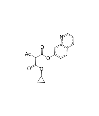 CC(=O)C(C(=O)Oc1ccc2cccnc2c1)C(=O)OC1CC1